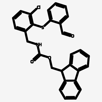 O=Cc1ccccc1Sc1c(Cl)cccc1CNC(=O)OCC1c2ccccc2-c2ccccc21